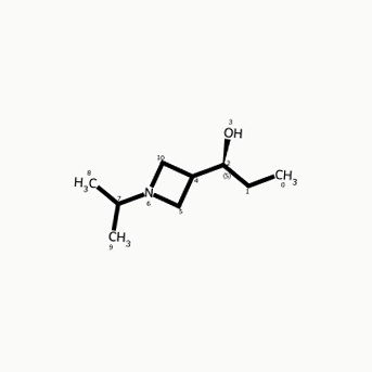 CC[C@H](O)C1CN(C(C)C)C1